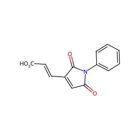 O=C(O)C=CC1=CC(=O)N(c2ccccc2)C1=O